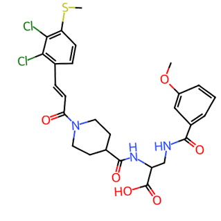 COc1cccc(C(=O)NCC(NC(=O)C2CCN(C(=O)C=Cc3ccc(SC)c(Cl)c3Cl)CC2)C(=O)O)c1